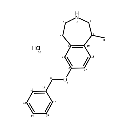 CC1CNCCc2cc(OCc3ccccc3)ccc21.Cl